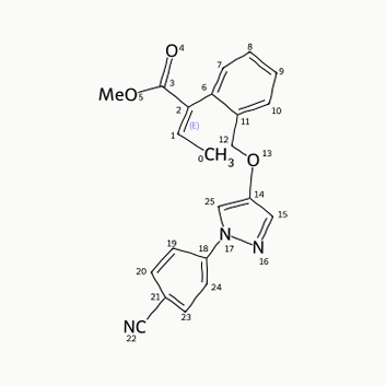 C/C=C(/C(=O)OC)c1ccccc1COc1cnn(-c2ccc(C#N)cc2)c1